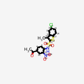 CC(=O)c1ccc(NS(=O)(=O)c2sc3ccc(Cl)cc3c2C)c([N+](=O)[O-])c1